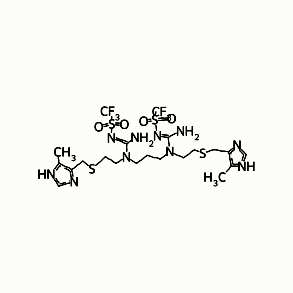 Cc1[nH]cnc1CSCCN(CCCN(CCSCc1nc[nH]c1C)C(N)=NS(=O)(=O)C(F)(F)F)C(N)=NS(=O)(=O)C(F)(F)F